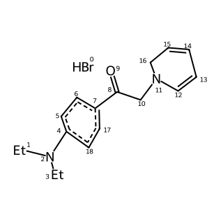 Br.CCN(CC)c1ccc(C(=O)CN2C=CC=CC2)cc1